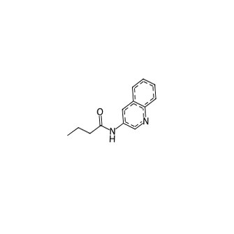 CCCC(=O)Nc1cnc2ccccc2c1